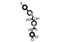 OC(CN1CCC(c2ccc(F)cc2)CC1)C1(O)CCN(C(=S)Nc2ccc(Cl)c(Cl)c2)CC1